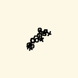 CC(C)(C)OC(=O)C(CNC(=O)c1ccc(C(C)(C)C)s1)Cc1ccc(B2OC(C)(C)C(C)(C)O2)cc1